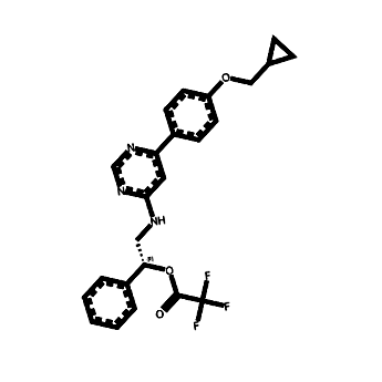 O=C(O[C@@H](CNc1cc(-c2ccc(OCC3CC3)cc2)ncn1)c1ccccc1)C(F)(F)F